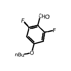 CCCCOc1cc(F)c(C=O)c(F)c1